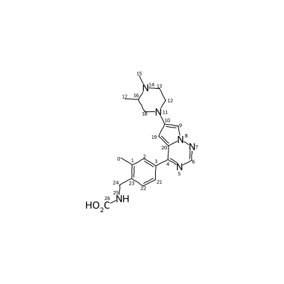 Cc1cc(-c2ncnn3cc(N4CCN(C)C(C)C4)cc23)ccc1CNC(=O)O